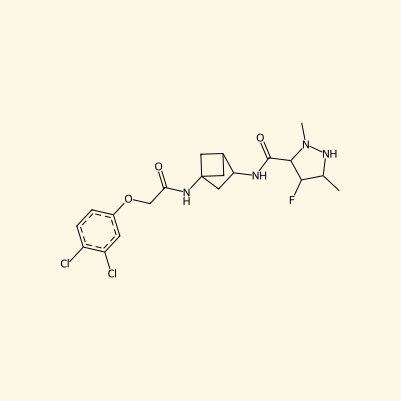 CC1NN(C)C(C(=O)NC2CC3(NC(=O)COc4ccc(Cl)c(Cl)c4)CC2C3)C1F